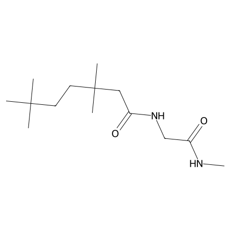 CNC(=O)CNC(=O)CC(C)(C)CCC(C)(C)C